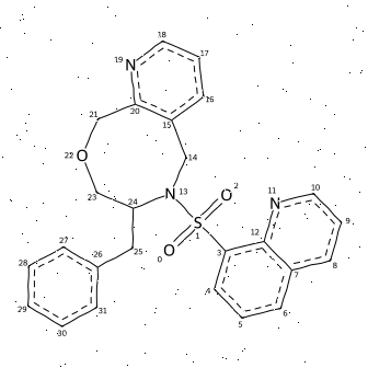 O=S(=O)(c1cccc2cccnc12)N1Cc2cccnc2COCC1Cc1ccccc1